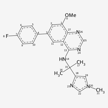 COc1cc(-c2ccc(F)cc2)cc2c(NC(C)(C)c3cn(C)cn3)ncnc12